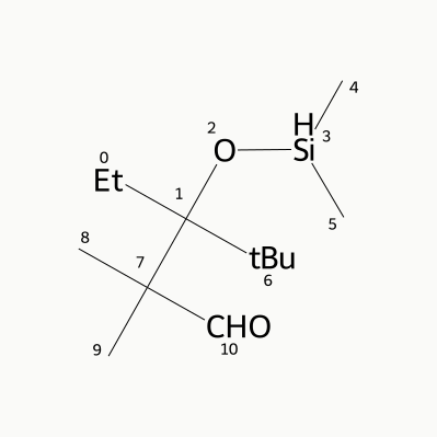 CCC(O[SiH](C)C)(C(C)(C)C)C(C)(C)C=O